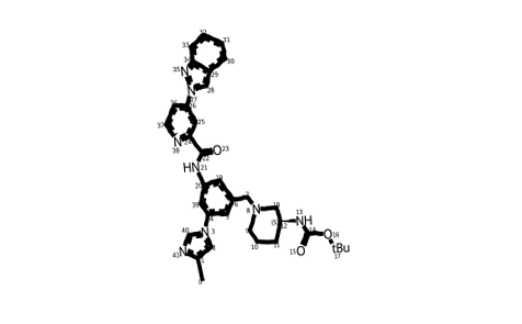 Cc1cn(-c2cc(CN3CCC[C@H](NC(=O)OC(C)(C)C)C3)cc(NC(=O)c3cc(-n4cc5ccccc5n4)ccn3)c2)cn1